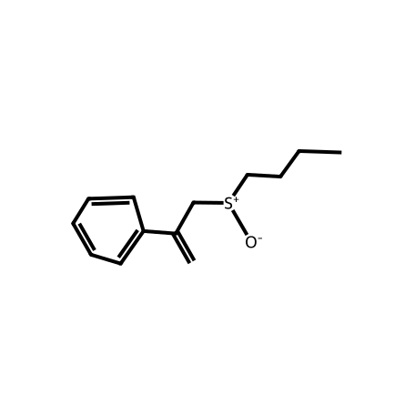 C=C(C[S+]([O-])CCCC)c1ccccc1